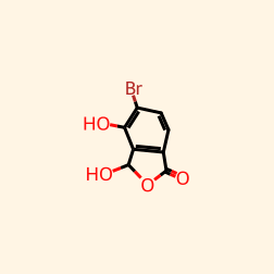 O=C1OC(O)c2c1ccc(Br)c2O